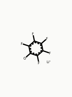 [Li+].[O-]c1c(F)c(F)c(F)c(F)c1F